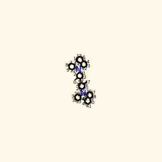 Cc1cc(N(c2cc#ccc2)c2cccc3ccc#cc23)ccc1-c1ccc(N(c2ccccc2)c2cccc3ccccc23)cc1C